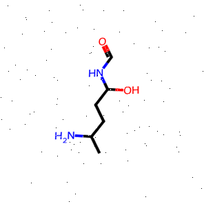 CC(N)CCC(O)NC=O